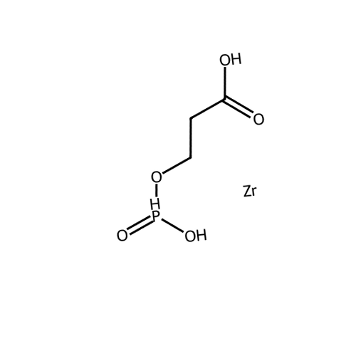 O=C(O)CCO[PH](=O)O.[Zr]